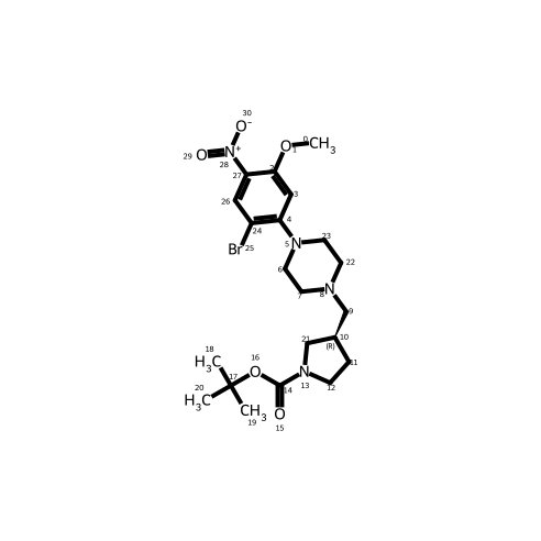 COc1cc(N2CCN(C[C@H]3CCN(C(=O)OC(C)(C)C)C3)CC2)c(Br)cc1[N+](=O)[O-]